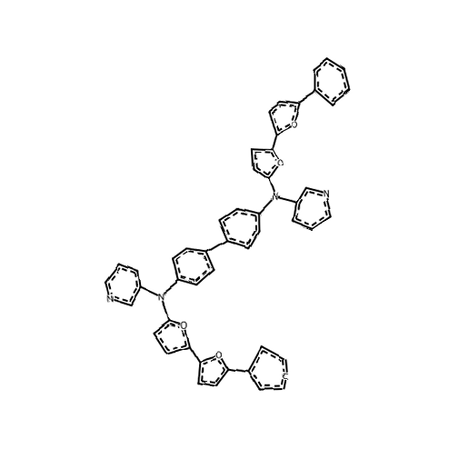 c1ccc(-c2ccc(-c3ccc(N(c4ccc(-c5ccc(N(c6cccnc6)c6ccc(-c7ccc(-c8ccccc8)o7)o6)cc5)cc4)c4cccnc4)o3)o2)cc1